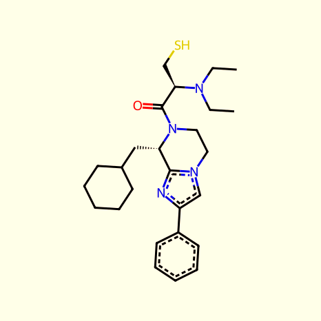 CCN(CC)[C@H](CS)C(=O)N1CCn2cc(-c3ccccc3)nc2[C@@H]1CC1CCCCC1